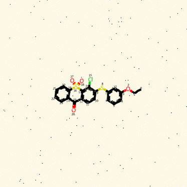 CCOc1cccc(Sc2ccc3c(c2Cl)S(=O)(=O)c2ccccc2C3=O)c1